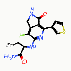 CC(C)CC(Nc1nc(-c2ccsc2)c2c(c1F)CNC2=O)C(N)=O